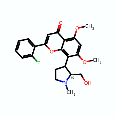 COc1cc(OC)c2c(=O)cc(-c3ccccc3F)oc2c1C1CCN(C)[C@@H]1CO